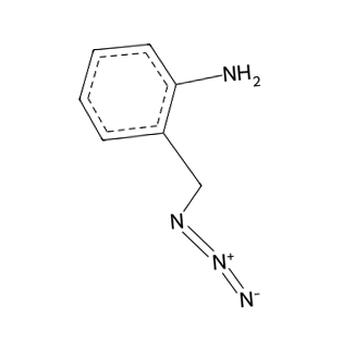 [N-]=[N+]=NCc1ccccc1N